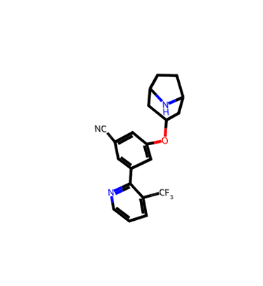 N#Cc1cc(OC2CC3CCC(C2)N3)cc(-c2ncccc2C(F)(F)F)c1